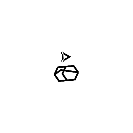 C1C2CC3CC1CC(C2)C3.C1OO1